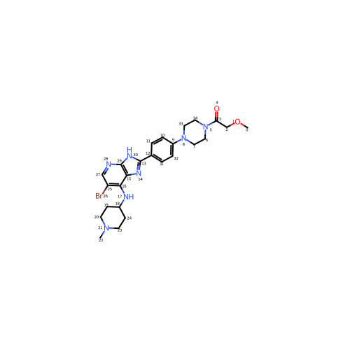 COCC(=O)N1CCN(c2ccc(-c3nc4c(NC5CCN(C)CC5)c(Br)cnc4[nH]3)cc2)CC1